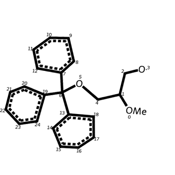 COC(C[O])COC(c1ccccc1)(c1ccccc1)c1ccccc1